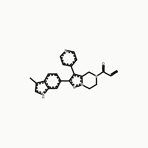 C=CC(=O)N1CCn2nc(-c3ccc4c(C)c[nH]c4c3)c(-c3ccncc3)c2C1